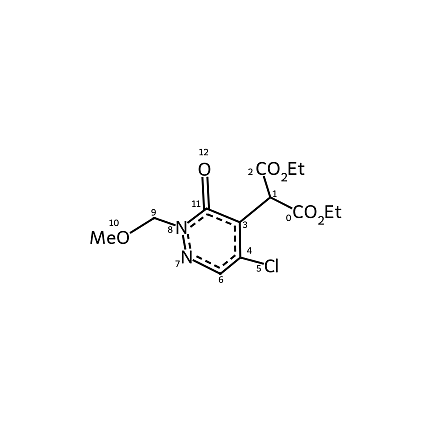 CCOC(=O)C(C(=O)OCC)c1c(Cl)cnn(COC)c1=O